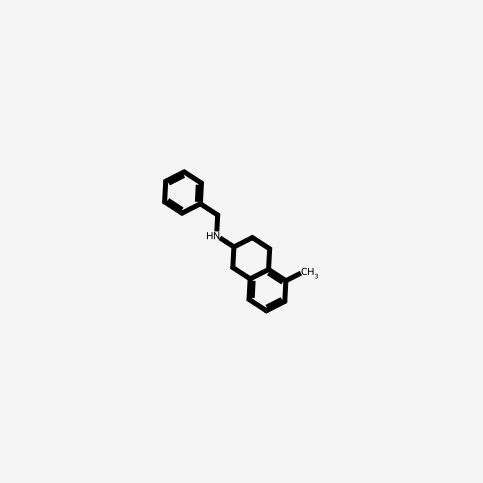 Cc1cccc2c1CCC(NCc1ccccc1)C2